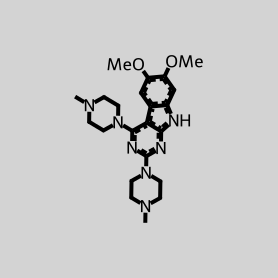 COc1cc2[nH]c3nc(N4CCN(C)CC4)nc(N4CCN(C)CC4)c3c2cc1OC